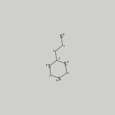 [S]CCC1SCSCS1